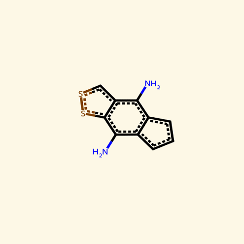 Nc1c2cccc2c(N)c2sscc12